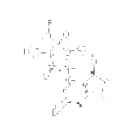 CCOP(O)(OCC)=C(C)C(=O)Nc1cc(Br)cc2c1C(=O)CC2